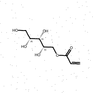 C=CC(=O)OC[C@H](O)[C@@H](O)[C@H](O)CO